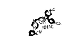 CC(=O)Nc1cc(-c2nn(CC(O)CN3CCN(c4ccccc4C#N)CC3)c3c2CN(C(C)=O)CC3)ccc1Cl